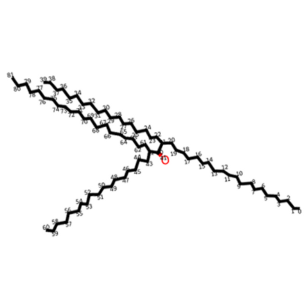 CCCCCCCCCCCCCCCCCCCCCC(CCCCCCCCCCCCCCCCCC)C(=O)C(CCCCCCCCCCCCCCCCCC)CCCCCCCCCCCCCCCCCCCCC